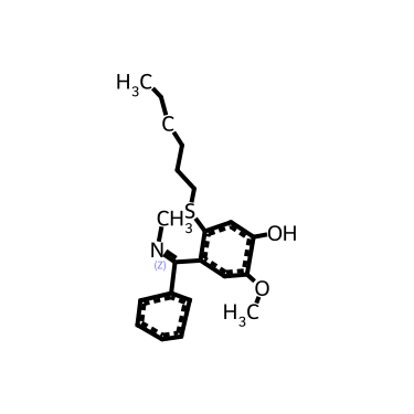 CCCCCCSc1cc(O)c(OC)cc1/C(=N\C)c1ccccc1